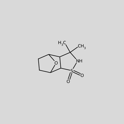 CC1(C)NS(=O)(=O)C2C3CCC(O3)C21